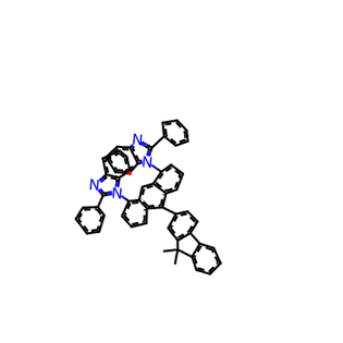 CC1(C)c2ccccc2-c2ccc(-c3c4cccc(-n5c(-c6ccccc6)nc6ccccc65)c4cc4c(-n5c(-c6ccccc6)nc6ccccc65)cccc34)cc21